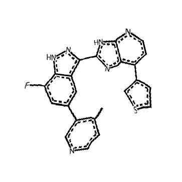 Cc1ccncc1-c1cc(F)c2[nH]nc(-c3nc4c(-c5ccsc5)ccnc4[nH]3)c2c1